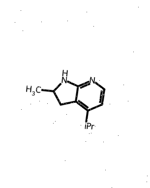 CC1Cc2c(C(C)C)ccnc2N1